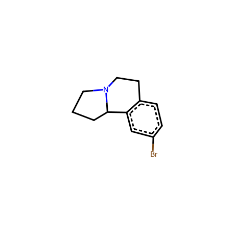 Brc1ccc2c(c1)C1CCCN1CC2